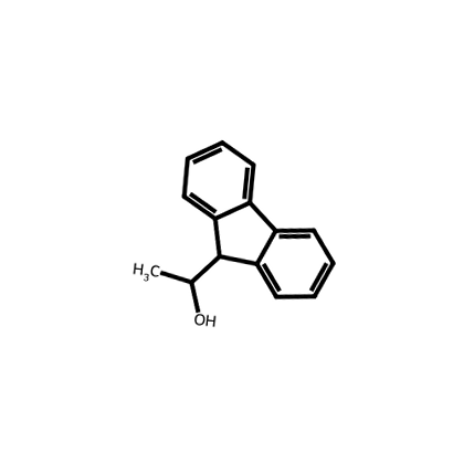 CC(O)C1c2ccccc2-c2ccccc21